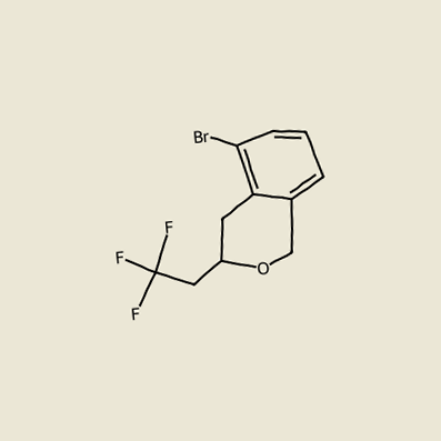 FC(F)(F)CC1Cc2c(Br)cccc2CO1